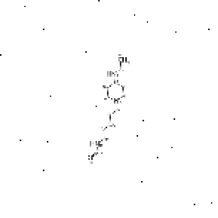 CCNC1CCN(CCOCCNC=O)CC1